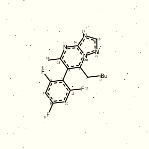 CCC(C)Cc1c(-c2c(F)cc(F)cc2F)c(C)nc2ncnn12